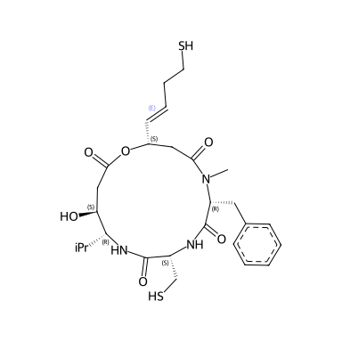 CC(C)[C@H]1NC(=O)[C@@H](CS)NC(=O)[C@@H](Cc2ccccc2)N(C)C(=O)C[C@@H](/C=C/CCS)OC(=O)C[C@@H]1O